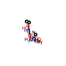 CC1=C(OC(=O)OCCCNCC(O)COc2cccc3ccccc23)C(c2cccc([N+](=O)[O-])c2)C(OC(=O)OC(C)C)=C(C)N1